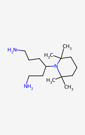 CC1(C)CCCC(C)(C)N1C(CCN)CCCN